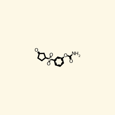 NC(=O)Oc1cccc(S(=O)(=O)C2CCC(=O)C2)c1